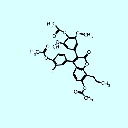 CCCc1c(OC(C)=O)ccc2c(-c3ccc(OC(C)=O)c(F)c3)c(-c3cc(OC)c(OC(C)=O)c(OC)c3)c(=O)oc12